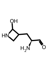 N[C@H](C=O)CC1CNC1O